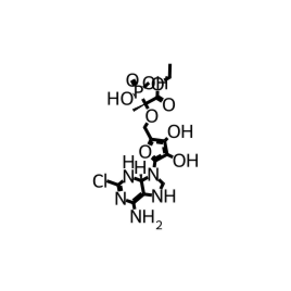 CCOC(=O)[C@](C)(OCc1oc(N2CNC3=C(N)N=C(Cl)N[C@@H]32)c(O)c1O)P(=O)(O)O